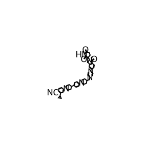 N#Cc1ccc(N2CCC(c3ccc(N4CCC(CN5CCN(c6ccc7c(c6)CN(C6CCC(=O)NC6=O)C7=O)CC5)CC4)cc3)CC2)cc1C1CC1